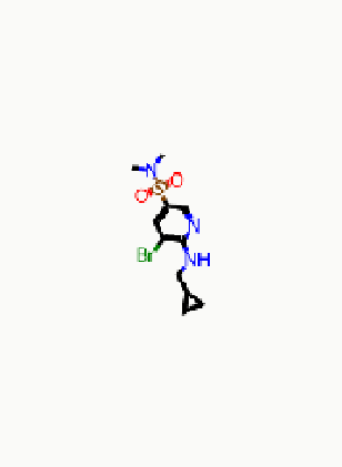 CN(C)S(=O)(=O)c1cnc(NCC2CC2)c(Br)c1